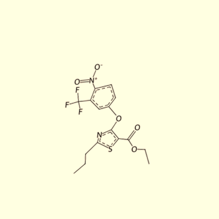 CCCc1nc(Oc2ccc([N+](=O)[O-])c(C(F)(F)F)c2)c(C(=O)OCC)s1